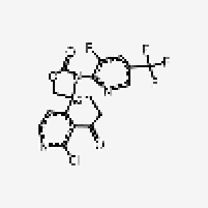 O=C1CC[C@@]2(COC(=O)N2c2ncc(C(F)(F)F)cc2F)c2ccnc(Cl)c21